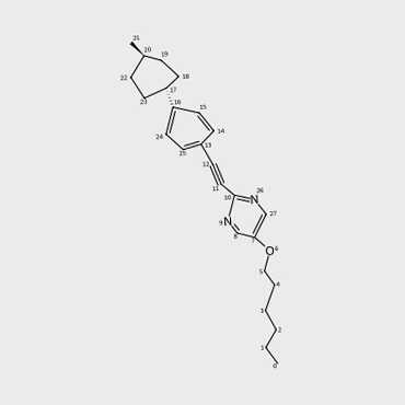 CCCCCCOc1cnc(C#Cc2ccc([C@H]3CC[C@H](C)CC3)cc2)nc1